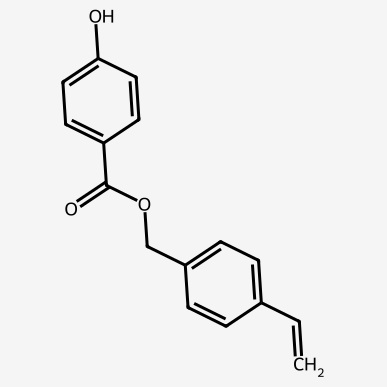 C=Cc1ccc(COC(=O)c2ccc(O)cc2)cc1